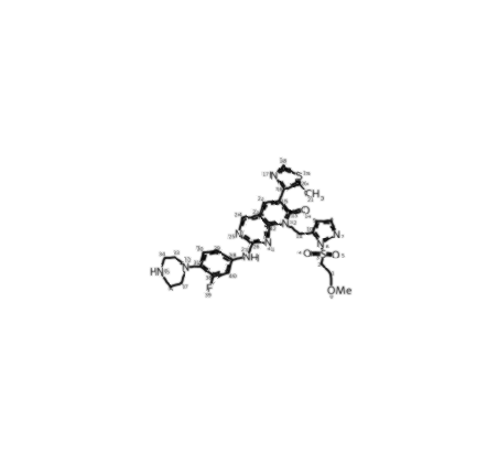 COCCS(=O)(=O)n1nccc1Cn1c(=O)c(-c2ncsc2C)cc2cnc(Nc3ccc(N4CCNCC4)c(F)c3)nc21